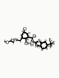 COCCNCc1cc(Cl)cc(C(=O)Nc2nc3ccc(C(F)(F)F)cc3s2)c1O